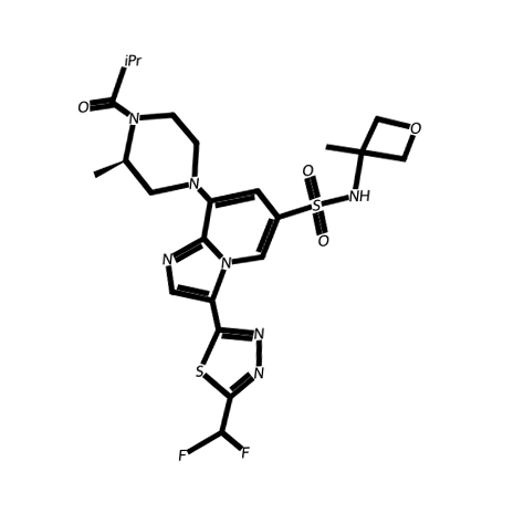 CC(C)C(=O)N1CCN(c2cc(S(=O)(=O)NC3(C)COC3)cn3c(-c4nnc(C(F)F)s4)cnc23)C[C@H]1C